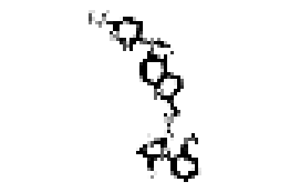 CC(C)c1ccccc1N1C(=O)CSC1=NN=Cc1ccc2c(ccc3c2ncn3-c2ccc(C(F)(F)F)nn2)n1